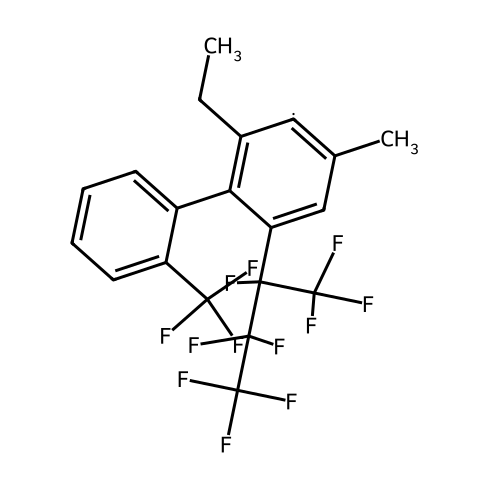 CCc1[c]c(C)cc(C(F)(C(F)(F)F)C(F)(F)C(F)(F)F)c1-c1ccccc1C(F)(F)F